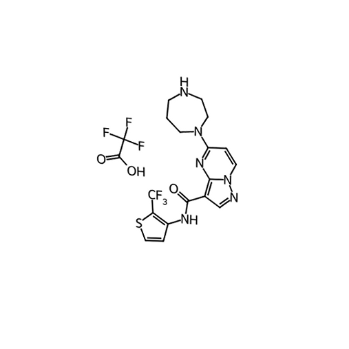 O=C(Nc1ccsc1C(F)(F)F)c1cnn2ccc(N3CCCNCC3)nc12.O=C(O)C(F)(F)F